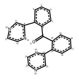 O=C(c1ccccc1-c1cnccn1)c1ccccc1-c1cnccn1